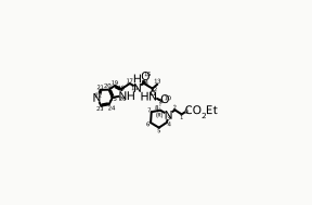 CCOC(=O)CCN1CCCC[C@@H]1C(=O)NC(C)C(=O)NCc1cc2cnccc2[nH]1